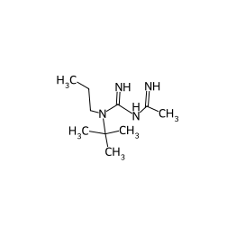 CCCN(C(=N)NC(C)=N)C(C)(C)C